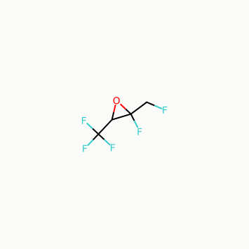 FCC1(F)OC1C(F)(F)F